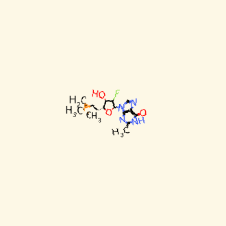 C=P(C)(C)CC[C@H]1OC(n2cnc3c(=O)[nH]c(C)nc32)[C@H](F)[C@@H]1O